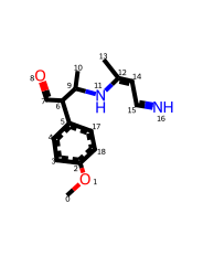 COc1ccc(C(C=O)C(C)N/C(C)=C\C=N)cc1